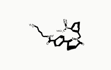 CCN(C(=O)O)c1cccc(Cn2nc(-c3ccc(C(=O)NCCCCN)cc3)ccc2=O)c1